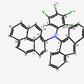 Fc1c(F)c(F)c(N(c2c3ccccc3cc3ccccc23)c2ccc3ccc4cccc5ccc2c3c45)c(F)c1F